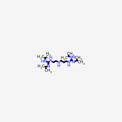 CC(C)N=C(NCCCNCCNC(=NC(C)C)NC(C)C)NC(C)C